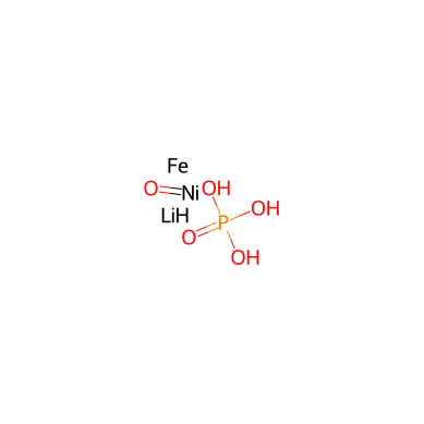 O=P(O)(O)O.[Fe].[LiH].[O]=[Ni]